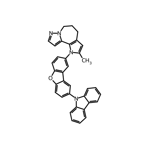 Cc1cc2c(n1-c1ccc3oc4ccc(-n5c6ccccc6c6ccccc65)cc4c3c1)-c1ccnn1CCC2